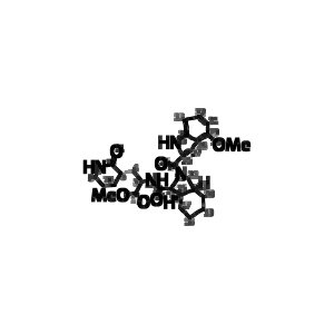 COC(=O)C(C[C@@H]1CCCNC1=O)NC(=O)[C@@H]1[C@H]2CCCC[C@H]2CN1C(=O)c1cc2c(OC)cccc2[nH]1